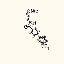 CON=CCNC(=O)c1ccc(-c2noc(C(F)(F)F)n2)cc1